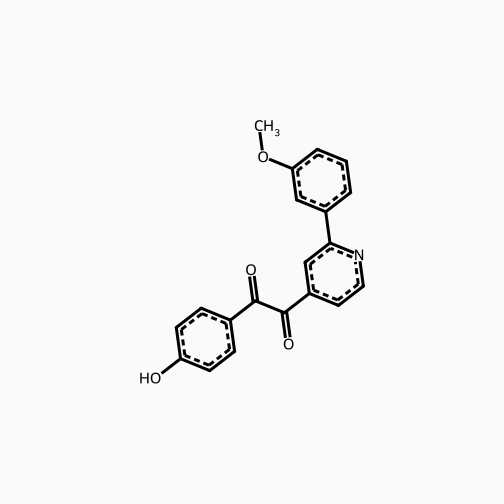 COc1cccc(-c2cc(C(=O)C(=O)c3ccc(O)cc3)ccn2)c1